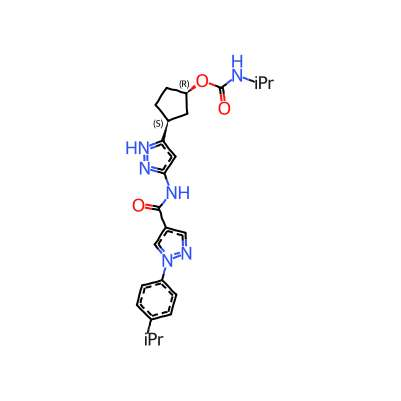 CC(C)NC(=O)O[C@@H]1CC[C@H](c2cc(NC(=O)c3cnn(-c4ccc(C(C)C)cc4)c3)n[nH]2)C1